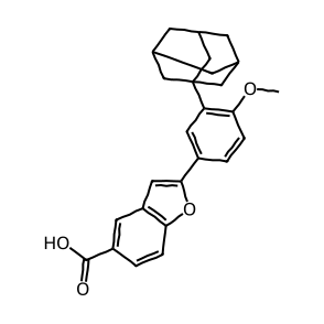 COc1ccc(-c2cc3cc(C(=O)O)ccc3o2)cc1C12CC3CC(CC(C3)C1)C2